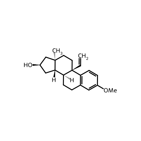 C=C[C@]12CC[C@]3(C)C[C@H](O)C[C@H]3[C@@H]1CCc1cc(OC)ccc12